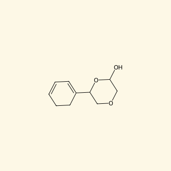 OC1COCC(C2=CC=CCC2)O1